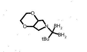 BC(B)(N1CC2OCCOC2C1)C(C)(C)C